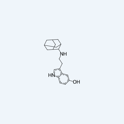 Oc1ccc2[nH]cc(CCNC3C4CC5CC(C4)CC3C5)c2c1